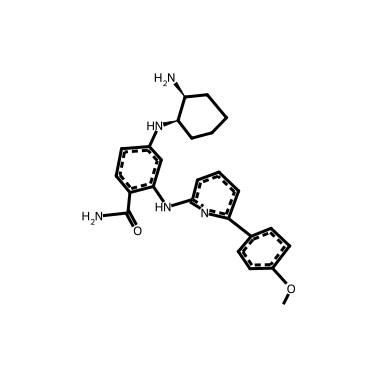 COc1ccc(-c2cccc(Nc3cc(N[C@@H]4CCCC[C@@H]4N)ccc3C(N)=O)n2)cc1